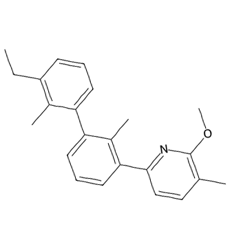 CCc1cccc(-c2cccc(-c3ccc(C)c(OC)n3)c2C)c1C